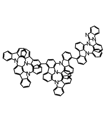 c1ccc(-n2c3ccccc3c3ccc(-n4c5ccccc5c5ccccc54)c(-n4c5ccccc5c5cc(-c6ccc(-n7c8ccccc8c8c(-c9cccc%10c9c9cccc(-n%11c%12ccccc%12n%12c%13ccccc%13nc%11%12)c9n%10-c9ccccc9)cccc87)c7c6c6cccc(-n8c9ccccc9c9ccccc98)c6n7-c6ccccc6)ccc54)c32)cc1